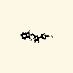 Cc1ccc(-c2cc(CN3C(=O)c4ccccc4C3=O)ncc2Cl)cn1